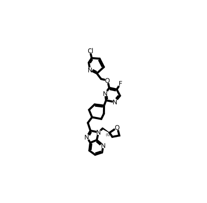 Fc1cnc(C2=CCC(Cc3nc4cccnc4n3C[C@@H]3CCO3)CC2)nc1OCc1ccc(Cl)cn1